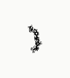 CC(C)(C)OC(=O)N1CCc2ccc(-c3cn(Cc4ncc(-c5nnc(C(F)F)o5)cc4F)nn3)cc2C1